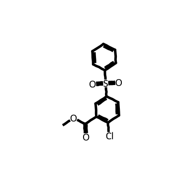 COC(=O)c1cc(S(=O)(=O)c2ccccc2)ccc1Cl